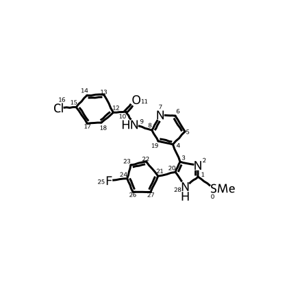 CSc1nc(-c2ccnc(NC(=O)c3ccc(Cl)cc3)c2)c(-c2ccc(F)cc2)[nH]1